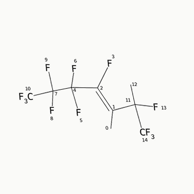 CC(=C(F)C(F)(F)C(F)(F)C(F)(F)F)C(C)(F)C(F)(F)F